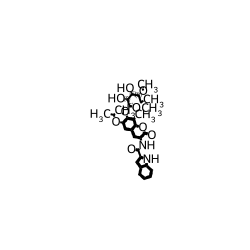 CO[C@@H]1[C@@H](O)[C@H](O)[C@H](Oc2c(OC(C)C)cc3cc(NC(=O)c4cc5ccccc5[nH]4)c(=O)oc3c2C)OC1(C)C